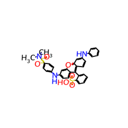 CN(C)S(=O)(=O)c1ccc(Nc2ccc3c(-c4ccccc4S(=O)(=O)O)c4ccc(Nc5ccccc5)cc4[o+]c3c2)cc1